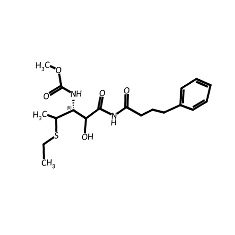 CCSC(C)[C@H](NC(=O)OC)C(O)C(=O)NC(=O)CCCc1ccccc1